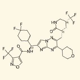 O=C(N[C@H](c1cn2nc(C[C@H]3C[C@@H](C(F)(F)F)CNC3=O)c(C3CCOCC3)nc2n1)C1CCC(F)(F)CC1)c1conc1C(F)(F)F